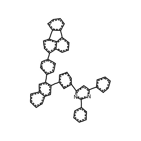 c1ccc(-c2cc(-c3cccc(-c4cc5ccccc5cc4-c4ccc(-c5ccc6c7c(cccc57)-c5ccccc5-6)cc4)c3)nc(-c3ccccc3)n2)cc1